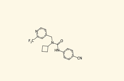 N#Cc1ccc(NC(=O)N(Cc2ccnc(C(F)(F)F)c2)C2CCC2)cc1